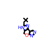 CC(C)(C)Cc1nc2c([nH]1)COc1ncncc1-2